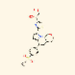 O=S(=O)(c1ccc(C(CC2CCOCC2)c2ccc(-c3nc(C(O)CO)cs3)[nH]2)cc1)C1CC1